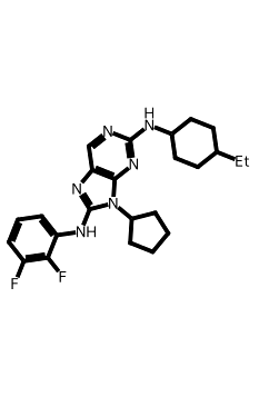 CCC1CCC(Nc2ncc3nc(Nc4cccc(F)c4F)n(C4CCCC4)c3n2)CC1